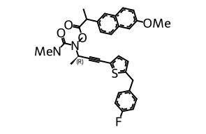 CNC(=O)N(OC(=O)C(C)c1ccc2cc(OC)ccc2c1)[C@H](C)C#Cc1ccc(Cc2ccc(F)cc2)s1